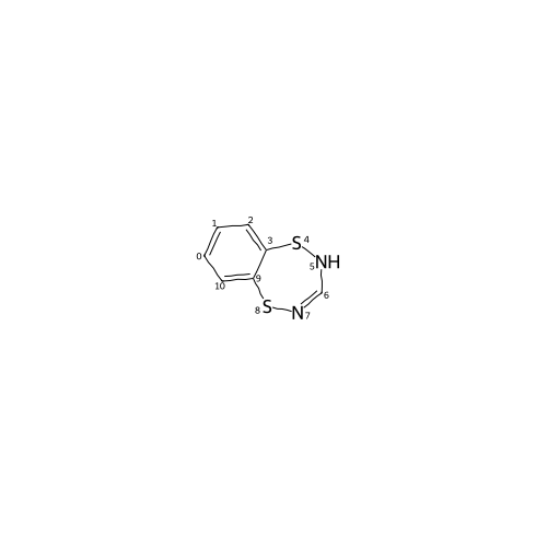 c1ccc2s[nH]cnsc2c1